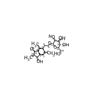 Cc1cc2c(c(C)c1CCO[C@@H]1O[C@H](CO)[C@@H](O)[C@H](O)[C@H]1O)C(=O)[C@H](C)[C@H]2O